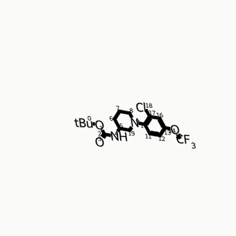 CC(C)(C)OC(=O)NC1CCCN(c2ccc(OC(F)(F)F)cc2Cl)C1